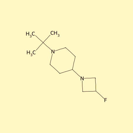 CC(C)(C)N1CCC(N2CC(F)C2)CC1